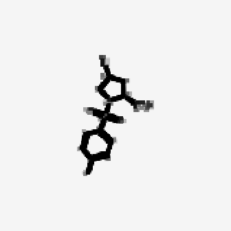 Cc1ccc(S(=O)(=O)N2CC(Cl)C[C@H]2C(=O)O)cc1